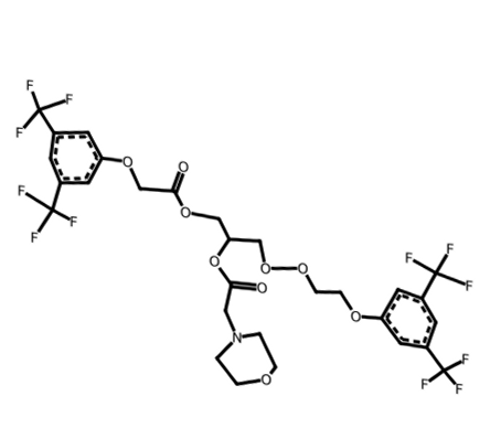 O=C(COc1cc(C(F)(F)F)cc(C(F)(F)F)c1)OCC(COOCCOc1cc(C(F)(F)F)cc(C(F)(F)F)c1)OC(=O)CN1CCOCC1